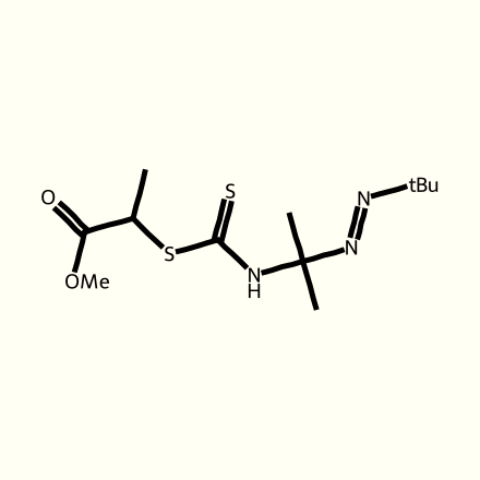 COC(=O)C(C)SC(=S)NC(C)(C)N=NC(C)(C)C